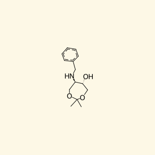 CC1(C)OC[C@@H](O)[C@H](NCc2ccccc2)CO1